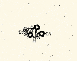 CCN(C)S(=O)(=O)c1ccc(Nc2nc3cc(C#N)ccc3n2Cc2ccccc2C(C)(F)F)cc1